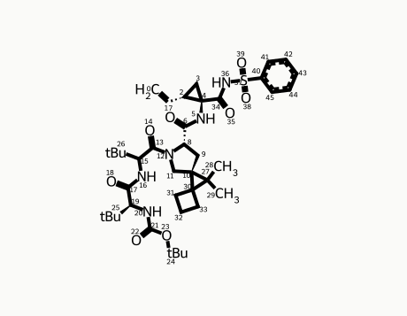 C=C[C@@H]1C[C@]1(NC(=O)[C@@H]1C[C@@]2(CN1C(=O)C(NC(=O)[C@@H](NC(=O)OC(C)(C)C)C(C)(C)C)C(C)(C)C)C(C)(C)C21CCC1)C(=O)NS(=O)(=O)c1ccccc1